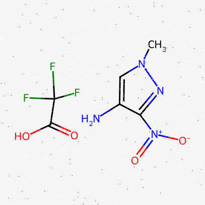 Cn1cc(N)c([N+](=O)[O-])n1.O=C(O)C(F)(F)F